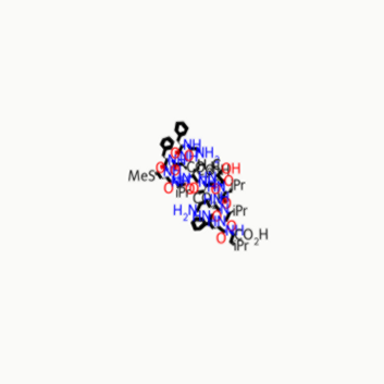 CSCC[C@H](NC(=O)[C@H](Cc1ccccc1)NC(=O)[C@H](CC(=O)O)NC(=O)[C@H](Cc1ccccc1)NC(=O)CN)C(=O)N[C@H](C(=O)N[C@@H](CC(=O)O)C(=O)N[C@@H](CCC(=O)O)C(=O)N[C@H](C(=O)N[C@@H](CC(C)C)C(=O)N[C@@H](CCCCN)C(=O)N[C@H](C(=O)N[C@@H](Cc1c[nH]c2ccccc12)C(=O)N[C@@H](CC(C)C)C(=O)O)C(C)C)[C@@H](C)O)C(C)C